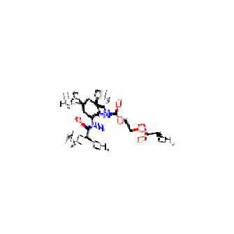 C=CC(=O)OCCOC(=O)NCC1(C)CC(NC(=O)C(C)C)CC(C)(C)C1